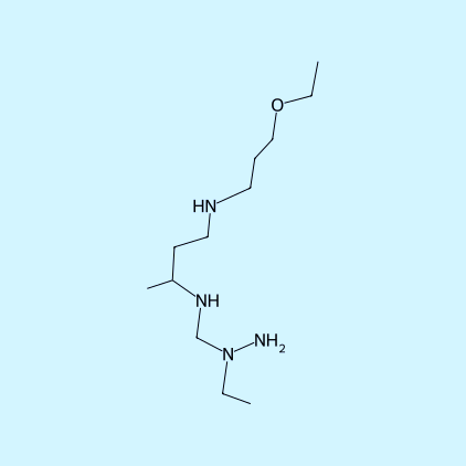 CCOCCCNCCC(C)NCN(N)CC